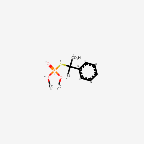 CCOP(=O)(OCC)SC(CC)(C(=O)O)c1ccccc1